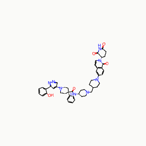 O=C1CC[C@H](n2ccc3cc(N4CCC(CN5CCC(NC(=O)C6(c7ccccc7)CCN(c7cnnc(-c8ccccc8O)c7)CC6)CC5)CC4)ccc3c2=O)C(=O)N1